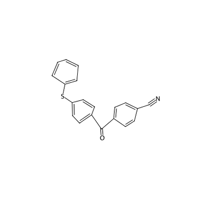 N#Cc1ccc(C(=O)c2ccc(Sc3ccccc3)cc2)cc1